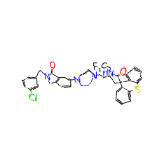 O=C1c2cc(N3CCN(CCCCC4(C(=O)NCC(F)(F)F)c5ccccc5Sc5ccccc54)CC3)ccc2CN1Cc1cccc(Cl)c1